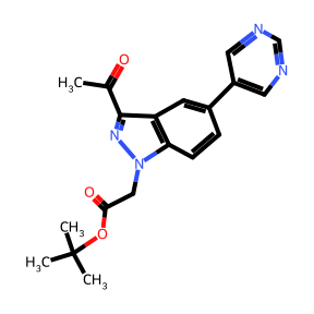 CC(=O)c1nn(CC(=O)OC(C)(C)C)c2ccc(-c3cncnc3)cc12